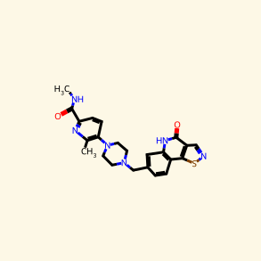 CNC(=O)c1ccc(N2CCN(Cc3ccc4c(c3)[nH]c(=O)c3cnsc34)CC2)c(C)n1